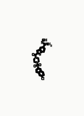 NC(=NO)c1ccc2sc(C(=O)N3CCN(S(=O)(=O)c4ccc5cc(Cl)ccc5c4)CC3)cc2c1